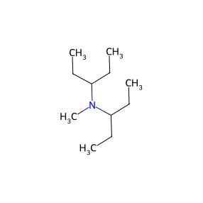 CCC(CC)N(C)C(CC)CC